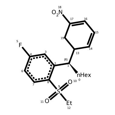 CCCCCC[C@@H](c1cc(F)ccc1S(=O)(=O)CC)C1C=CC=C([N+](=O)[O-])C1